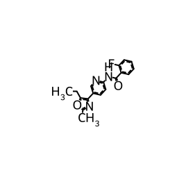 CCc1oc(C)nc1-c1ccc(NC(=O)c2ccccc2F)nc1